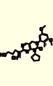 COc1cc(OC)c(F)c(N2Cc3cnc(NC[C@H](O)CO)nc3N(C3CCCC3)C2=O)c1